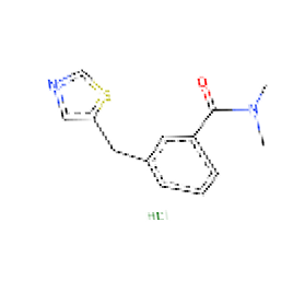 CN(C)C(=O)c1cccc(Cc2cncs2)c1.Cl